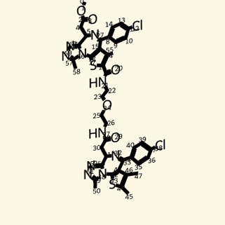 COC(=O)CC1N=C(c2ccc(Cl)cc2)c2c(sc(C(=O)NCCOCCNC(=O)CC3N=C(c4ccc(Cl)cc4)c4c(sc(C)c4C)-n4c(C)nnc43)c2C)-n2c(C)nnc21